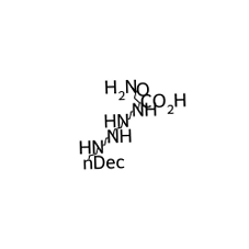 CCCCCCCCCCCCNCCNCCNCCNC(CC(N)=O)C(=O)O